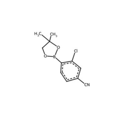 CC1(C)COB(c2ccc(C#N)cc2Cl)O1